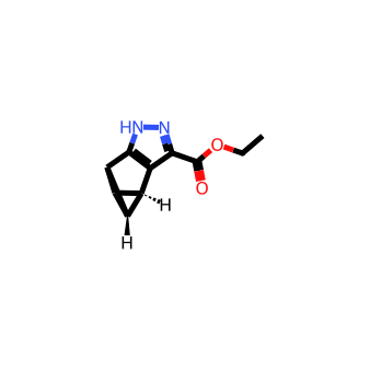 CCOC(=O)c1n[nH]c2c1[C@@H]1C3C2[C@@H]31